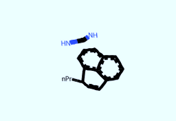 CCCC1C=Cc2cccc3cccc1c23.N=C=N